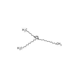 CCCCCCCCCCCCCCN1C=CN(CCCCCCCC)C1CCCCCCCCCCCC